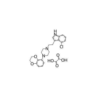 Clc1cccc2[nH]cc(CCN3CCN(c4cccc5c4OCCO5)CC3)c12.O=C(O)C(=O)O